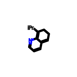 CC(C)C1=c2ncccc2=CCC1